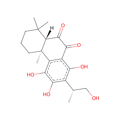 C[C@@H](CO)c1c(O)c(O)c2c(c1O)C(=O)C(=O)[C@H]1C(C)(C)CCC[C@]21C